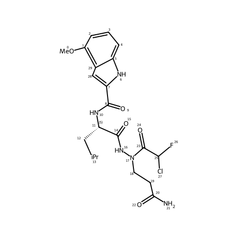 COc1cccc2[nH]c(C(=O)N[C@@H](CC(C)C)C(=O)NN(CCC(N)=O)C(=O)C(F)Cl)cc12